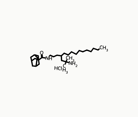 CCCCCCCCCCCC(CCCNC(=O)C12CC3CC(CC(C3)C1)C2)CC(C)(C)N.Cl